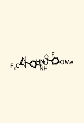 COc1ccc(C(=O)ONC(=N)c2ccc(-c3nc(C(F)(F)F)cn3C)cc2)c(F)c1